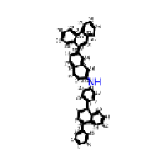 c1ccc(-c2ccc(-c3ccc(Nc4ccc5ccc(-c6cc7ccccc7c7ccccc67)cc5c4)cc3)c3ccccc23)cc1